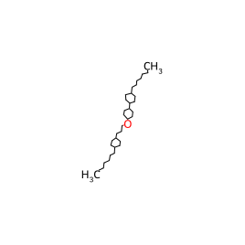 CCCCCCCC1CCC(CCCOC2CCC(C3CCC(CCCCCCC)CC3)CC2)CC1